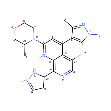 Cc1nn(C)cc1-c1cc(N2CCOC[C@H]2C)nc2c(C3CC=NN3)ncc(F)c12